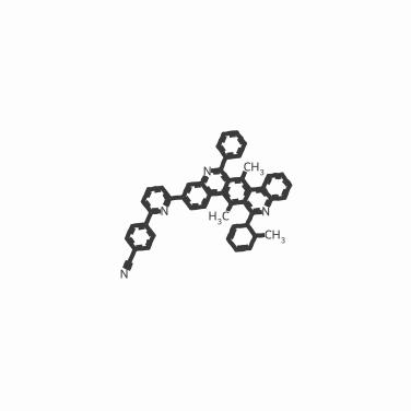 Cc1c2c(C3C=CC=CC3C)nc3ccccc3c2c(C)c2c(-c3ccccc3)nc3cc(-c4cccc(-c5ccc(C#N)cc5)n4)ccc3c12